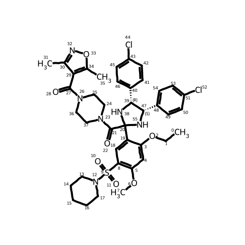 CCOc1cc(OC)c(S(=O)(=O)N2CCCCC2)cc1C1(C(=O)N2CCN(C(=O)c3c(C)noc3C)CC2)N[C@H](c2ccc(Cl)cc2)[C@H](c2ccc(Cl)cc2)N1